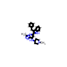 Cc1nnc2c(NC3CCN(C)CC3)cc(-c3[nH]c4ccccc4c3Cc3ccccc3)nn12